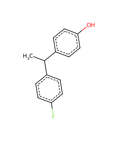 CC(c1ccc(O)cc1)c1ccc(F)cc1